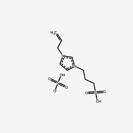 C=CC[n+]1ccn(CCCS(=O)(=O)O)c1.O=S(=O)([O-])O